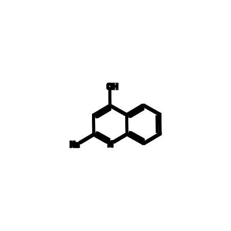 Oc1c[c]([Na])nc2ccccc12